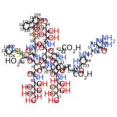 Nc1nc2ncc(CNc3ccc(C(=O)N[C@@H](CCC(=O)C[C@@H](CCC(=O)NC[C@H](O)[C@@H](O)[C@H](O)[C@H](O)CO)C(=O)N[C@@H](CCC(=O)O)C(=O)C[C@@H](CCC(=O)NC[C@H](O)[C@@H](O)[C@H](O)[C@H](O)CO)C(=O)N[C@@H](CCC(=O)O)C(=O)C[C@@H](CCC(=O)NC[C@H](O)[C@@H](O)[C@H](O)[C@H](O)CO)C(=O)N[C@@H](CNC(=O)CCSCC4c5ccccc5-c5ccccc54)C(=O)C[C@@H](CSSc4ccccn4)C(=O)O)C(=O)O)cc3)nc2c(=O)[nH]1